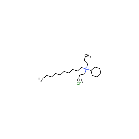 CCCCCCCCCC[N+](CCC)(CCC)C1CCCCC1.[Cl-]